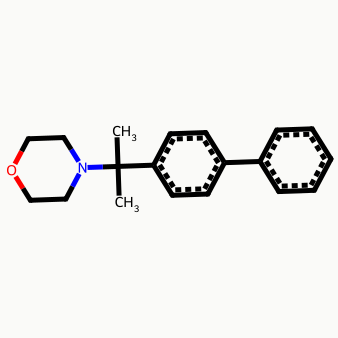 CC(C)(c1ccc(-c2ccccc2)cc1)N1CCOCC1